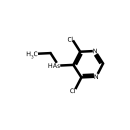 CC[AsH]c1c(Cl)ncnc1Cl